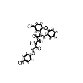 O=C(COc1ccc(Cl)cc1)NNC(=O)N1Cc2ccccc2Oc2ccc(Cl)cc21